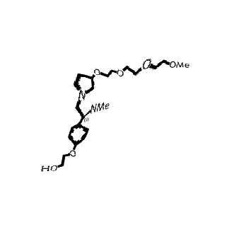 CN[C@H](CN1CCC(OCCOCCOCCOC)C1)c1ccc(OCCO)cc1